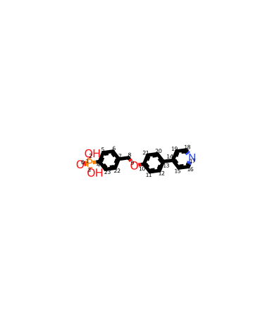 O=P(O)(O)c1ccc(COc2ccc(-c3ccncc3)cc2)cc1